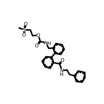 CS(=O)(=O)CCOC(=O)NCc1ccccc1-c1ccccc1C(=O)NCCc1ccccc1